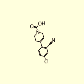 N#Cc1cc(Cl)ccc1C1=CCN(C(=O)O)CC1